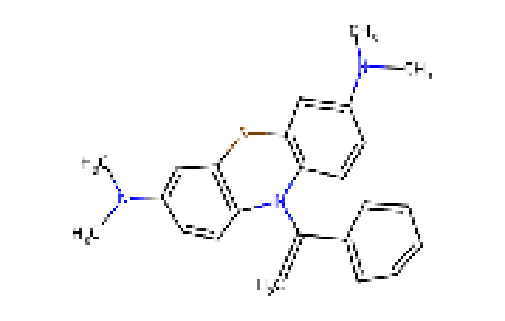 C=C(c1ccccc1)N1c2ccc(N(C)C)cc2Sc2cc(N(C)C)ccc21